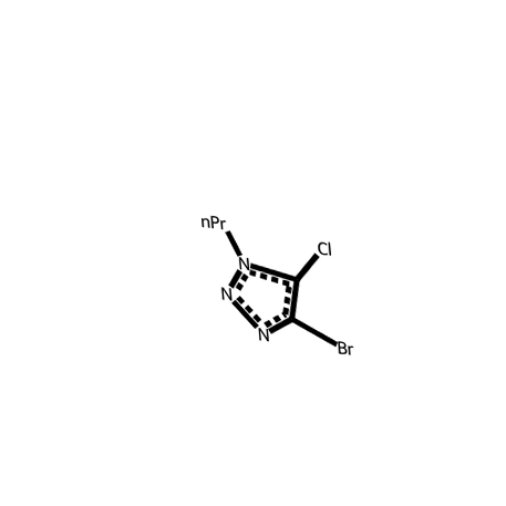 CCCn1nnc(Br)c1Cl